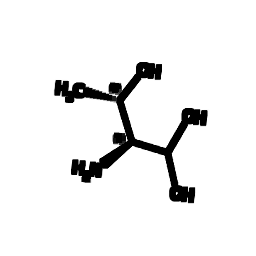 C[C@H](O)[C@H](N)C(O)O